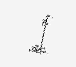 CC(O)C(N)C(=O)O.CC(O)C(N)C(=O)O.CCCCCCCCCCCCCCCC(=O)NC(CCCCN)C(=O)O